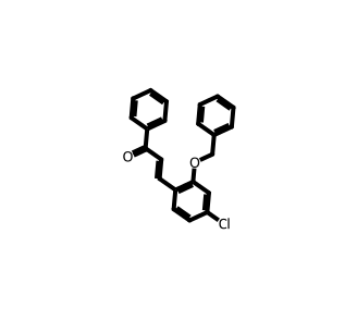 O=C(/C=C/c1ccc(Cl)cc1OCc1ccccc1)c1ccccc1